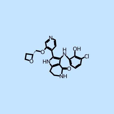 O=C1NCCc2[nH]c(-c3ccncc3OC[C@H]3CCO3)c(Nc3cccc(Cl)c3O)c21